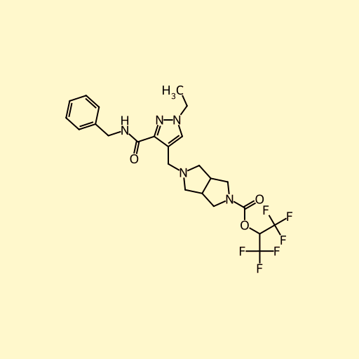 CCn1cc(CN2CC3CN(C(=O)OC(C(F)(F)F)C(F)(F)F)CC3C2)c(C(=O)NCc2ccccc2)n1